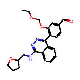 CCOCOc1cc(C=O)ccc1-c1nnc(NCC2CCCO2)c2ccccc12